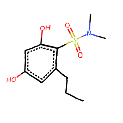 CCCc1cc(O)cc(O)c1S(=O)(=O)N(C)C